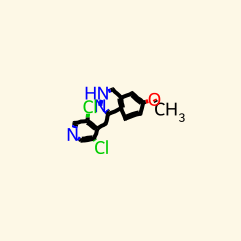 COc1ccc2c(c1)CNN=C2Cc1c(Cl)cncc1Cl